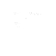 CC=CC(=O)OC(CCCCCCCCCC)[Si](OC)(OC)OC